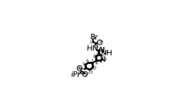 CC(C)S(=O)(=O)c1ccc(-c2cnc3[nH]nc(NC(=O)CBr)c3c2)cc1